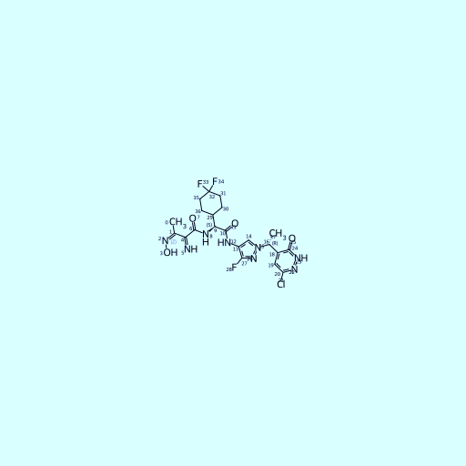 C/C(=N/O)C(=N)C(=O)N[C@H](C(=O)Nc1cn([C@H](C)c2cc(Cl)n[nH]c2=O)nc1F)C1CCC(F)(F)CC1